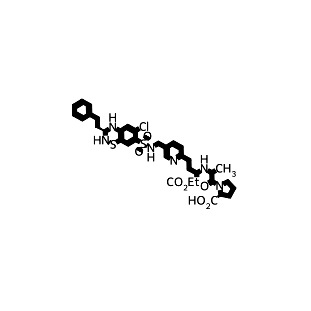 CCOC(=O)C(CCc1ccc(CNS(=O)(=O)c2cc3c(cc2Cl)N[C@H](CCc2ccccc2)NS3)cn1)NC(C)C(=O)N1CCC[C@H]1C(=O)O